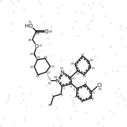 CCCc1c(-c2cccc(Cl)c2)c(-c2ccccc2)nn1C[C@H]1CC[C@H](COCC(=O)O)CC1